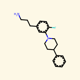 NCCCc1ccc(F)c(N2CCC(c3ccccc3)CC2)c1